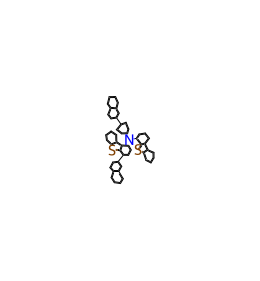 c1ccc2cc(-c3ccc(N(c4cccc5c4sc4ccccc45)c4ccc(-c5ccc6ccccc6c5)c5sc6ccccc6c45)cc3)ccc2c1